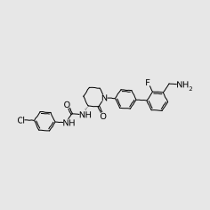 NCc1cccc(-c2ccc(N3CCC[C@@H](NC(=O)Nc4ccc(Cl)cc4)C3=O)cc2)c1F